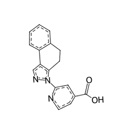 O=C(O)c1ccnc(-n2ncc3c2CCc2ccccc2-3)c1